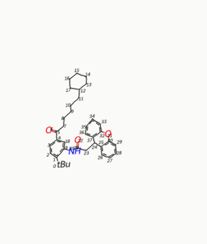 CC(C)(C)c1ccc(C(=O)CCCCCC2CCCCC2)cc1NC(=O)CC1c2ccccc2Oc2ccccc21